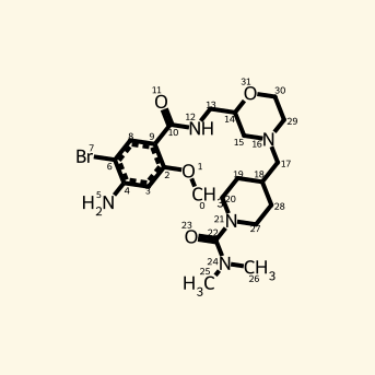 COc1cc(N)c(Br)cc1C(=O)NCC1CN(CC2CCN(C(=O)N(C)C)CC2)CCO1